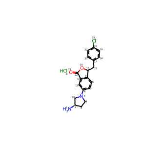 Cl.N[C@@H]1CCN(c2ccc3c(c2)C(=O)OC3Cc2ccc(Cl)cc2)C1